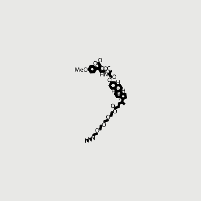 COc1ccc2c(CC(=O)NC(CC(=O)O)C(=O)O[C@@H]3CC[C@@]4(C)[C@H](CC[C@@H]5[C@@H]4CC[C@]4(C)C(C(C)CCC(=O)OCCOCCOCCOCCN=[N+]=[N-])CC[C@@H]54)C3)cc(=O)oc2c1